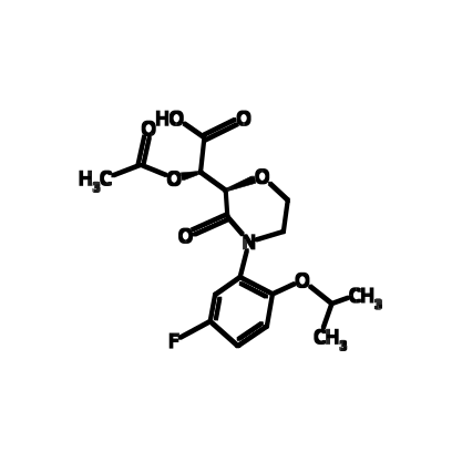 CC(=O)O[C@@H](C(=O)O)[C@H]1OCCN(c2cc(F)ccc2OC(C)C)C1=O